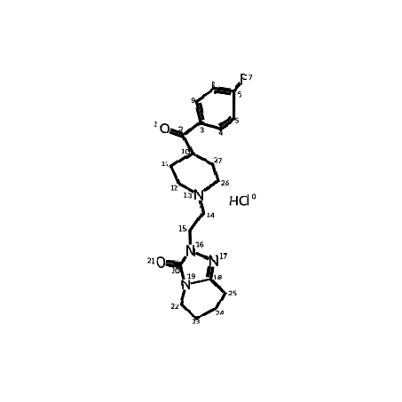 Cl.O=C(c1ccc(F)cc1)C1CCN(CCn2nc3n(c2=O)CCCC3)CC1